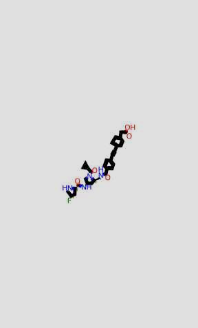 O=C(O)Cc1ccc(C#Cc2ccc(C(=O)NC[C@H]3C[C@@H](NC(=O)[C@@H]4C[C@H](F)CN4)CN3C(=O)C3CC3)cc2)cc1